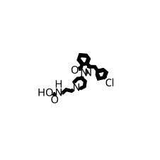 O=C(O)NCCCN1CCCC(n2nc(Cc3ccc(Cl)cc3)c3ccccc3c2=O)CC1